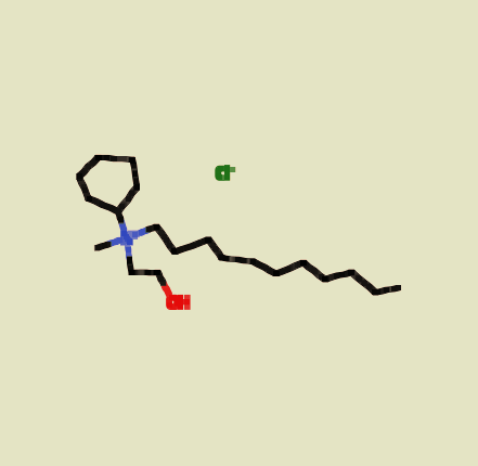 CCCCCCCCCCC[N+](C)(CCO)C1CCCCC1.[Cl-]